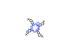 CC(C)(C)c1ccc2cc3c(cc2c1)-c1nc-3nc2[nH]c(nc3nc(nc4[nH]c(n1)c1cc5ccc(C(C)(C)C)cc5cc41)-c1cc4ccc(C(C)(C)C)cc4cc1-3)c1cc3ccc(C(C)(C)C)cc3cc21